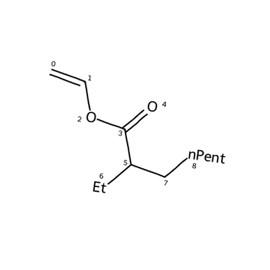 C=COC(=O)C(CC)CCCCCC